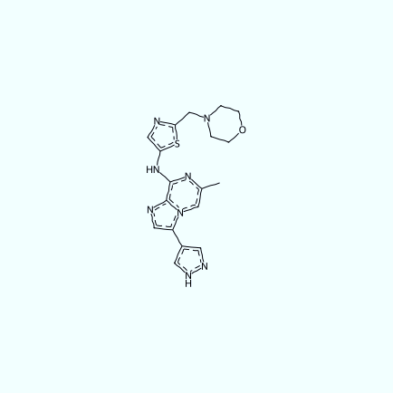 Cc1cn2c(-c3cn[nH]c3)cnc2c(Nc2cnc(CN3CCOCC3)s2)n1